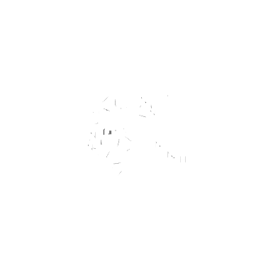 CCOc1nccc(COc2ccccc2CC(Nc2ncnc3sc(-c4ccc(F)o4)c(-c4ccc(OCCN5CCN(C)CC5)c(Cl)c4C)c23)C(=O)O)n1